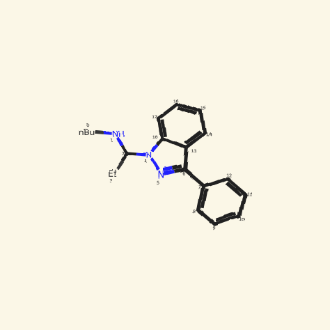 CCCCNC(CC)n1nc(-c2ccccc2)c2ccccc21